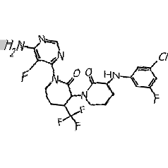 Nc1ncnc(N2CCC(C(F)(F)F)C(N3CCCC(Nc4cc(F)cc(Cl)c4)C3=O)C2=O)c1F